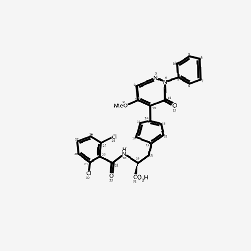 COc1cnn(-c2ccccc2)c(=O)c1-c1ccc(C[C@H](NC(=O)c2c(Cl)cccc2Cl)C(=O)O)cc1